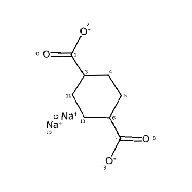 O=C([O-])C1CCC(C(=O)[O-])CC1.[Na+].[Na+]